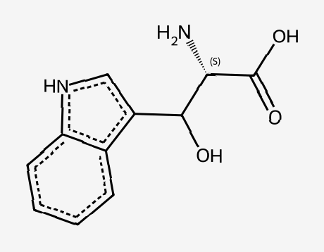 N[C@H](C(=O)O)C(O)c1c[nH]c2ccccc12